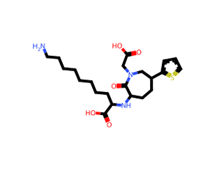 NCCCCCCCCC(NC1CCC(c2cccs2)CN(CC(=O)O)C1=O)C(=O)O